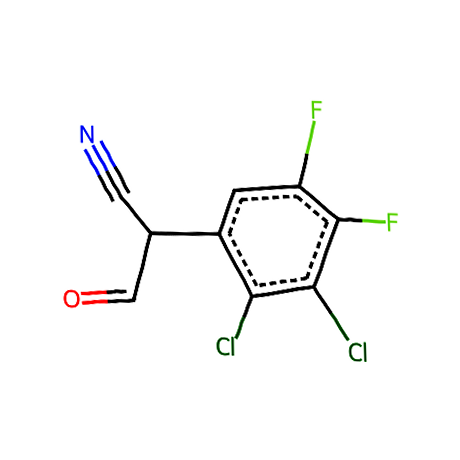 N#CC(C=O)c1cc(F)c(F)c(Cl)c1Cl